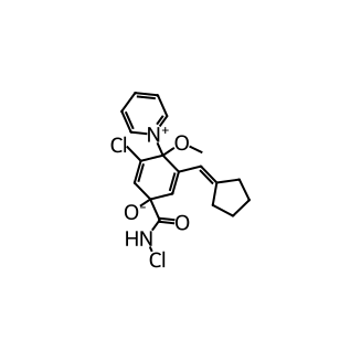 COC1([n+]2ccccc2)C(Cl)=CC([O-])(C(=O)NCl)C=C1C=C1CCCC1